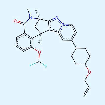 C=CCOC1CCC(c2ccn3nc4c(c3c2)[C@@H]2C[C@H]4N(C)C(=O)c3cccc(OC(F)F)c32)CC1